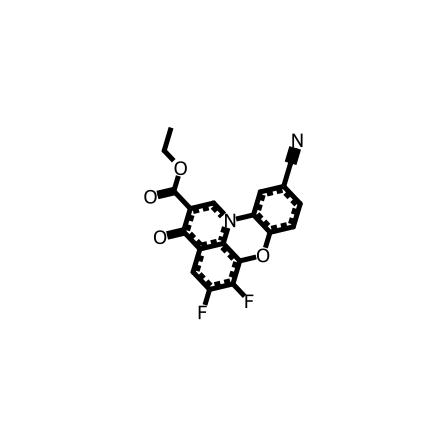 CCOC(=O)c1cn2c3c(c(F)c(F)cc3c1=O)Oc1ccc(C#N)cc1-2